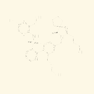 CCCCC1=NC2(CCCC2)C(=O)N1Cc1ccc(-c2ncccc2S(=O)(=O)Nc2ncc(C)nc2OC)c(COCC)c1